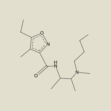 CCCCN(C)C(C)C(C)NC(=O)c1noc(CC)c1C